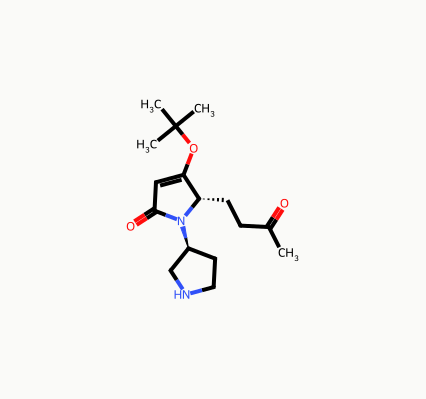 CC(=O)CC[C@H]1C(OC(C)(C)C)=CC(=O)N1[C@H]1CCNC1